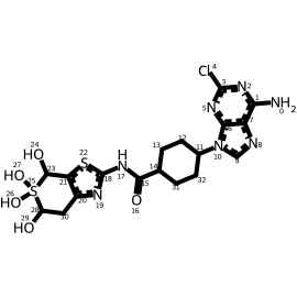 Nc1nc(Cl)nc2c1ncn2C1CCC(C(=O)Nc2nc3c(s2)C(O)S(O)(O)C(O)C3)CC1